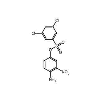 Nc1ccc(OS(=O)(=O)c2cc(Cl)cc(Cl)c2)cc1[N+](=O)[O-]